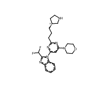 FC(F)c1nc2ccccc2n1-c1cc(N2CCOCC2)nc(CCC[C@H]2CCNC2)n1